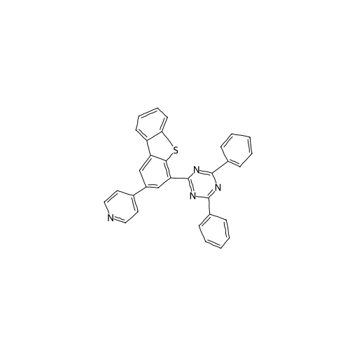 c1ccc(-c2nc(-c3ccccc3)nc(-c3cc(-c4ccncc4)cc4c3sc3ccccc34)n2)cc1